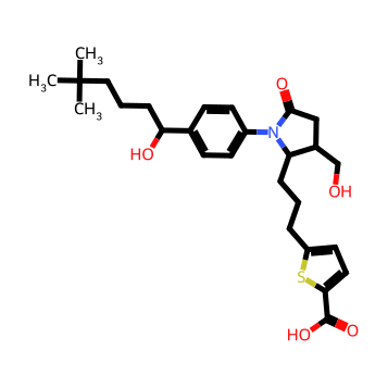 CC(C)(C)CCCC(O)c1ccc(N2C(=O)CC(CO)C2CCCc2ccc(C(=O)O)s2)cc1